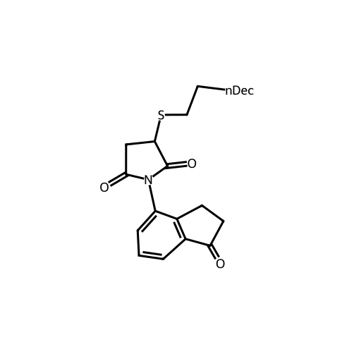 CCCCCCCCCCCCSC1CC(=O)N(c2cccc3c2CCC3=O)C1=O